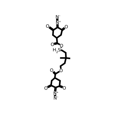 CC(C)(CCOC(=O)C1CC(=O)C(=[N+]=[N-])C(=O)C1)C[SiH2]OC(=O)C1CC(=O)C(=[N+]=[N-])C(=O)C1